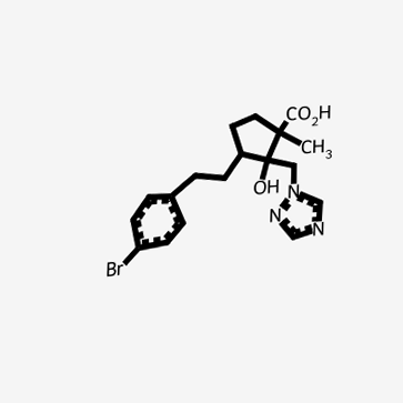 CC1(C(=O)O)CCC(CCc2ccc(Br)cc2)C1(O)Cn1cncn1